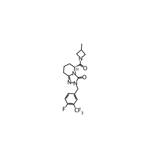 CC1CN(C(=O)[C@@H]2CCCc3nn(Cc4ccc(F)c(C(F)(F)F)c4)c(=O)n32)C1